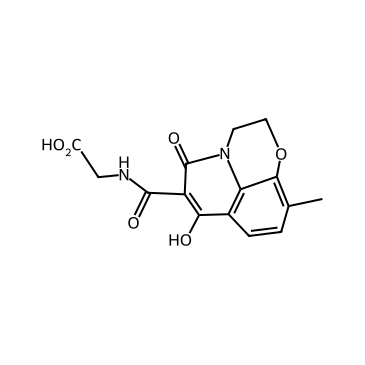 Cc1ccc2c(O)c(C(=O)NCC(=O)O)c(=O)n3c2c1OCC3